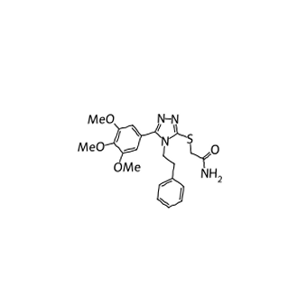 COc1cc(-c2nnc(SCC(N)=O)n2CCc2ccccc2)cc(OC)c1OC